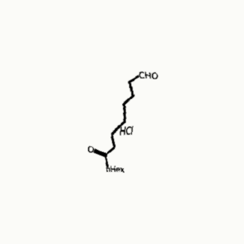 CCCCCCC(=O)CCCCCCC=O.Cl